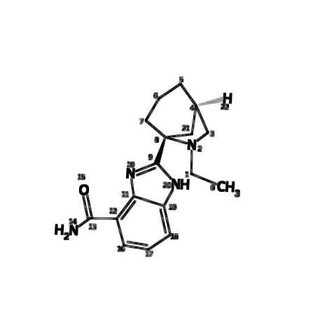 CCN1C[C@@H]2CCC[C@]1(c1nc3c(C(N)=O)cccc3[nH]1)C2